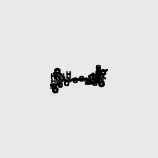 Cc1cc([C@@H](C)Nc2ccccc2C(=O)OC(C)(C)C)c2oc(N3CCN(C(=O)CCOCCOCCNC(=O)c4cnc(Nc5ccccc5C)c(NC(=O)c5csc6ccccc56)c4)CC3)cc(=O)c2c1